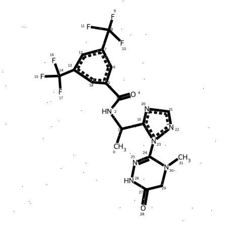 CC(NC(=O)c1cc(C(F)(F)F)cc(C(F)(F)F)c1)c1ncnn1C1=NNC(=O)CN1C